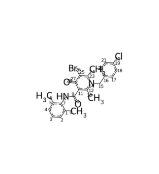 Cc1cccc(C)c1NC(=O)c1c(C)n(Cc2ccc(Cl)cc2)c(C)c(Br)c1=O